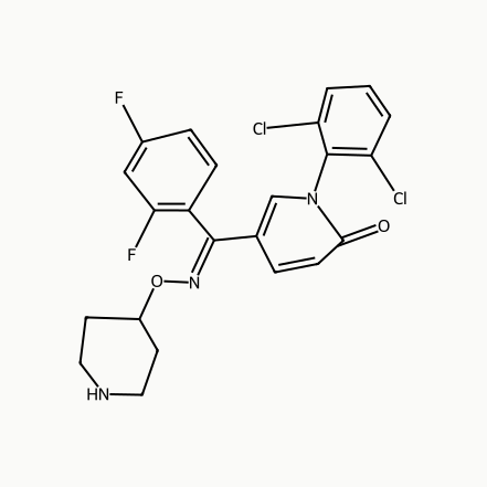 O=c1ccc(/C(=N/OC2CCNCC2)c2ccc(F)cc2F)cn1-c1c(Cl)cccc1Cl